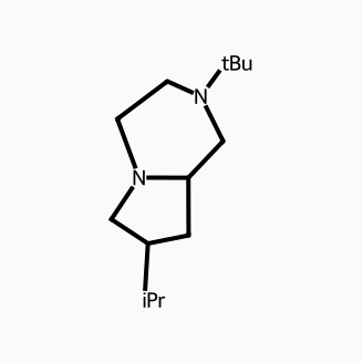 CC(C)C1CC2CN(C(C)(C)C)CCN2C1